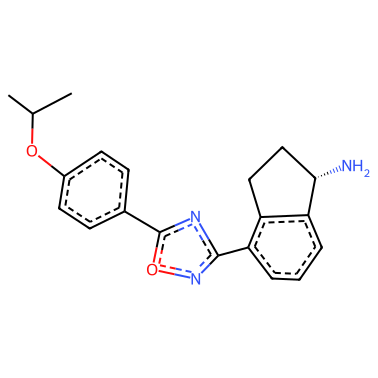 CC(C)Oc1ccc(-c2nc(-c3cccc4c3CC[C@@H]4N)no2)cc1